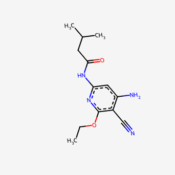 CCOc1nc(NC(=O)CC(C)C)cc(N)c1C#N